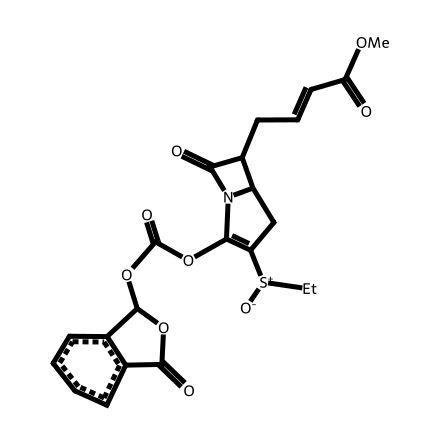 CC[S+]([O-])C1=C(OC(=O)OC2OC(=O)c3ccccc32)N2C(=O)C(CC=CC(=O)OC)C2C1